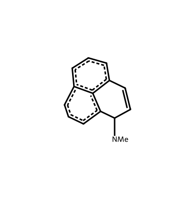 CNC1C=Cc2cccc3cccc1c23